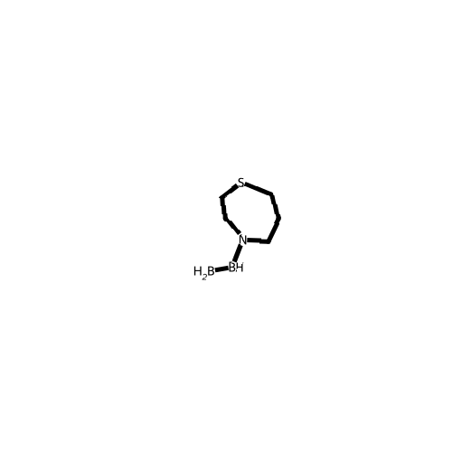 BBN1CCCSCC1